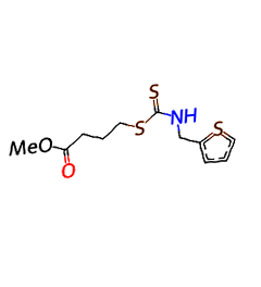 COC(=O)CCCSC(=S)NCc1cccs1